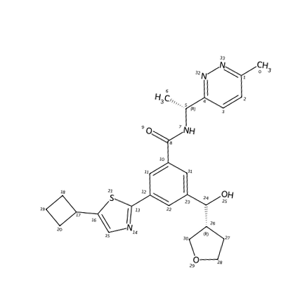 Cc1ccc([C@@H](C)NC(=O)c2cc(-c3ncc(C4CCC4)s3)cc(C(O)[C@@H]3CCOC3)c2)nn1